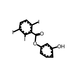 O=C(Oc1cccc(O)c1)c1c(I)ccc(I)c1I